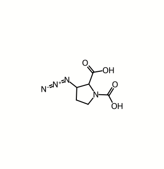 [N-]=[N+]=NC1CCN(C(=O)O)C1C(=O)O